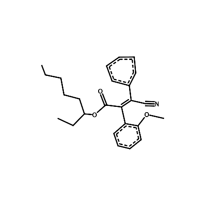 CCCCCC(CC)OC(=O)C(=C(C#N)c1ccccc1)c1ccccc1OC